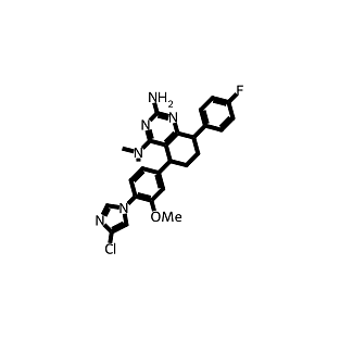 COc1cc(C2CCC(c3ccc(F)cc3)c3nc(N)nc(N(C)C)c32)ccc1-n1cnc(Cl)c1